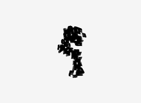 CC(NNC(=O)N=C1SCC(=O)N1c1cc(Cl)ccc1OC(F)(F)F)c1ccc(-c2ncn(-c3ccc(OC(F)(F)F)cc3)n2)cc1